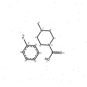 CN1CCN(C(=O)O)CC1.Fc1ccccc1